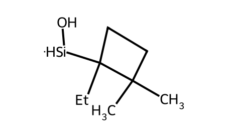 CCC1([SiH]O)CCC1(C)C